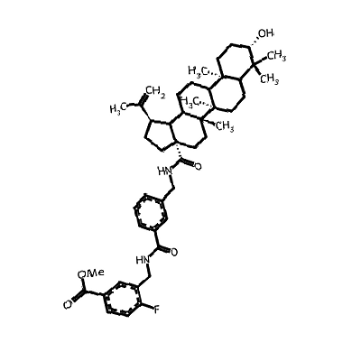 C=C(C)[C@@H]1CC[C@]2(C(=O)NCc3cccc(C(=O)NCc4cc(C(=O)OC)ccc4F)c3)CC[C@]3(C)C(CCC4[C@@]5(C)CC[C@H](O)C(C)(C)C5CC[C@]43C)C12